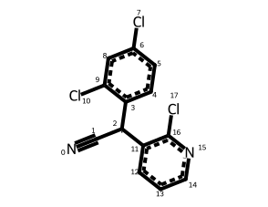 N#C[C](c1ccc(Cl)cc1Cl)c1cccnc1Cl